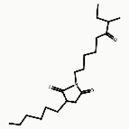 CCCCCCC1CC(=O)N(CCCCCC(=O)C(C)CC)C1=O